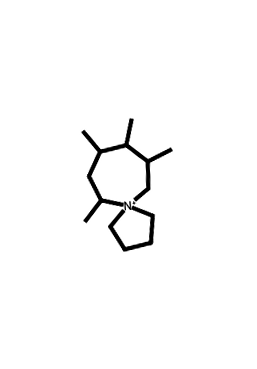 CC1CC(C)[N+]2(CCCC2)CC(C)C1C